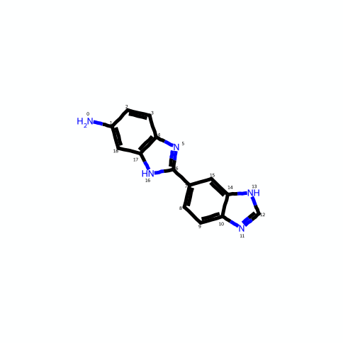 Nc1ccc2nc(-c3ccc4nc[nH]c4c3)[nH]c2c1